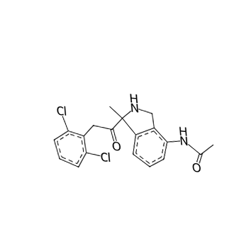 CC(=O)Nc1cccc2c1CNC2(C)C(=O)Cc1c(Cl)cccc1Cl